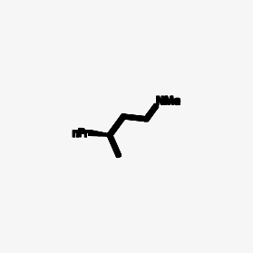 CCC[C@H](C)CCNC